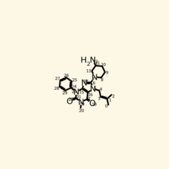 CC(C)=CCn1c(N2CCCC(N)C2)nc2c1c(=O)n(C)c(=O)n2-c1ccccc1